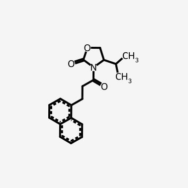 CC(C)C1COC(=O)N1C(=O)CCc1cccc2ccccc12